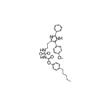 CCCCCc1ccc(OC(=O)NS(=O)(=O)NCCc2nc(-c3ccccc3)[nH]c2-c2ccc(OC)cc2)cc1